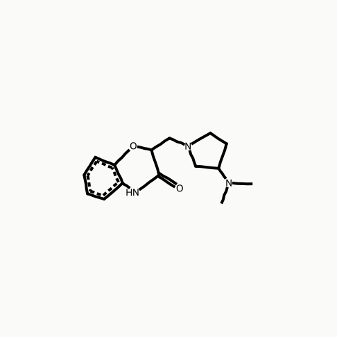 CN(C)C1CCN(CC2Oc3ccccc3NC2=O)C1